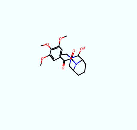 CCN1CC2CCCC(C1O)N2C(=O)C(=O)c1cc(OC)c(OC)c(OC)c1